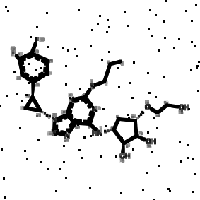 CCCSc1nc(N[C@@H]2C[C@H](OCCO)[C@@H](O)[C@H]2O)c2nnn([C@@H]3C[C@H]3c3ccc(F)c(F)c3)c2n1